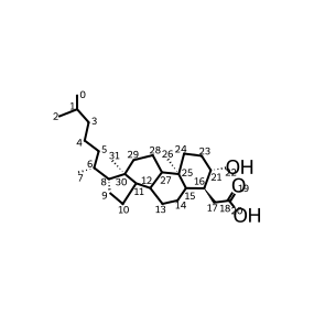 CC(C)CCC[C@@H](C)[C@H]1CCC2C3CCC4[C@H](CC(=O)O)[C@@H](O)CC[C@]4(C)C3CC[C@@]21C